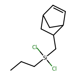 CCC[Si](Cl)(Cl)CC1CC2C=CC1C2